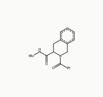 CC(C)C(=O)N1Cc2ccccc2CC1C(=O)NC(C)(C)C